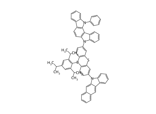 CC(C)c1cc(C(C)C)c(B2c3ccc(-n4c5ccccc5c5cc6ccccc6cc54)cc3Sc3cc(-n4c5ccccc5c5c4ccc4c6ccccc6n(-c6ccccc6)c45)ccc32)c(C(C)C)c1